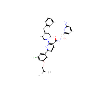 CC(C)COc1cc(F)cc(-c2ccc(C(=O)NS(=O)(=O)c3cccc(N)n3)c(N3CCC(Cc4ccccc4)CC3)n2)c1